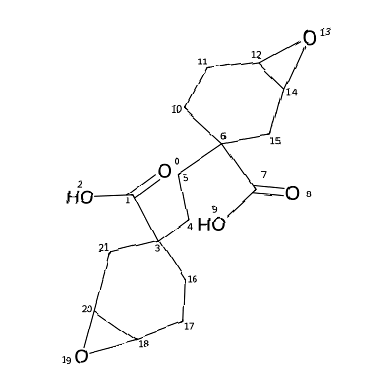 O=C(O)C1(CCC2(C(=O)O)CCC3OC3C2)CCC2OC2C1